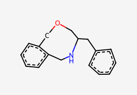 c1ccc(CC2COCc3ccccc3CN2)cc1